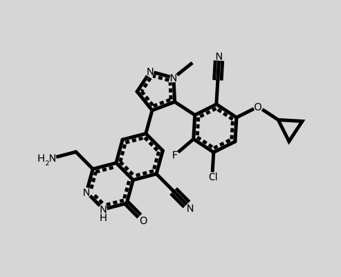 Cn1ncc(-c2cc(C#N)c3c(=O)[nH]nc(CN)c3c2)c1-c1c(F)c(Cl)cc(OC2CC2)c1C#N